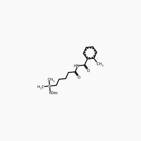 CCCCCCCCCC[Si](C)(C)CCCCC(=O)NC(=O)c1ccccc1C